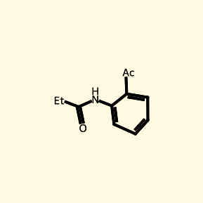 [CH2]C(=O)c1ccccc1NC(=O)CC